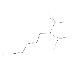 NCCCCC(C(=O)O)N(I)I